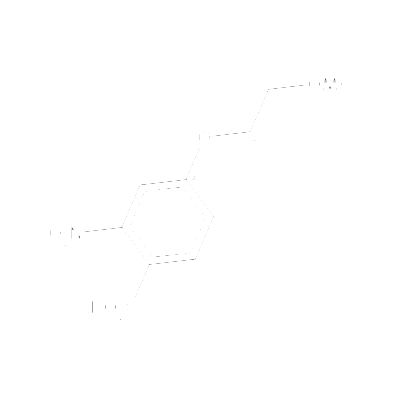 COCCOc1ccc(C(=O)O)c([N+](=O)[O-])c1